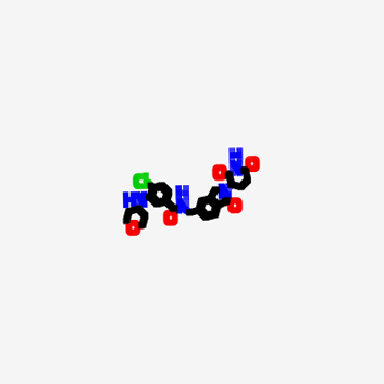 O=C1CCC(N2Cc3cc(CNC(=O)c4ccc(Cl)c(NC5CCOCC5)c4)ccc3C2=O)C(=O)N1